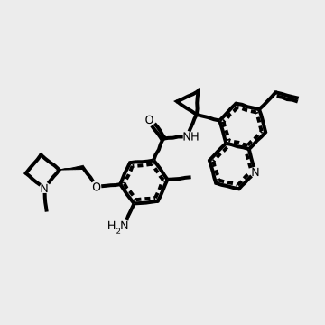 C=Cc1cc(C2(NC(=O)c3cc(OC[C@@H]4CCN4C)c(N)cc3C)CC2)c2cccnc2c1